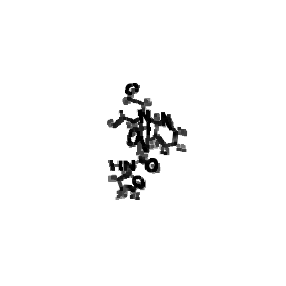 C=CC(=O)N(C[C]=O)c1ncccc1NC(=O)Nc1ccco1